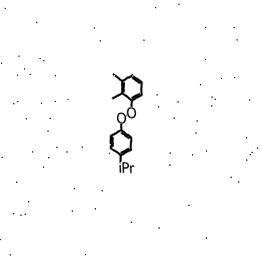 Cc1cccc(OOc2ccc(C(C)C)cc2)c1C